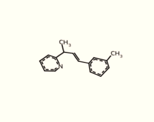 Cc1cccc(C=CC(C)c2ccccn2)c1